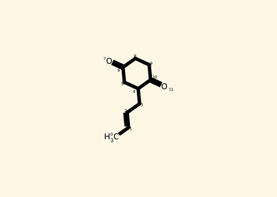 CC=CCC1CC(=O)CCC1=O